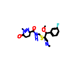 C=N/C=C(\SCNC(=O)C1=NN(C)C(=O)CC1)C(OC)c1cccc(F)c1